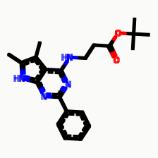 Cc1[nH]c2nc(-c3ccccc3)nc(NCCC(=O)OC(C)(C)C)c2c1C